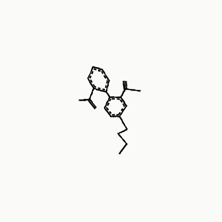 C=C(C)c1ccccc1-c1ccc(CCCC)cc1C(=C)C